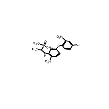 COP(=O)(OC)C(C)Nc1cc(Oc2ccc(Cl)cc2[N+](=O)[O-])ccc1[N+](=O)[O-]